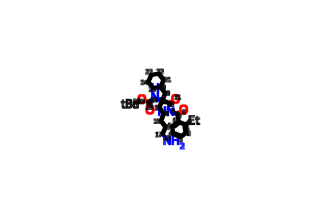 CCc1ccccc1C(=O)NC(=O)C(CCCCCN)(CC1CCCCC1)NC(=O)OC(C)(C)C